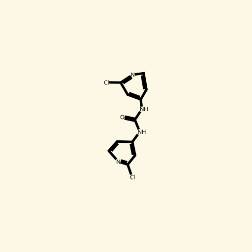 O=C(Nc1ccnc(Cl)c1)Nc1ccnc(Cl)c1